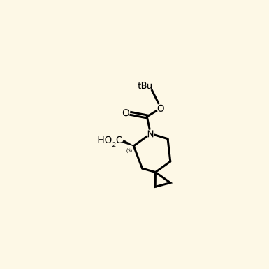 CC(C)(C)OC(=O)N1CCC2(CC2)C[C@H]1C(=O)O